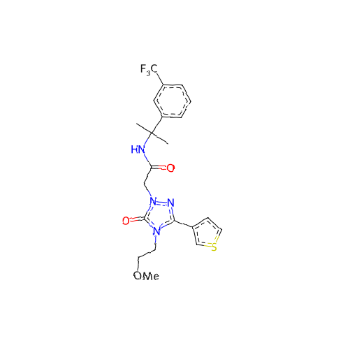 COCCn1c(-c2ccsc2)nn(CC(=O)NC(C)(C)c2cccc(C(F)(F)F)c2)c1=O